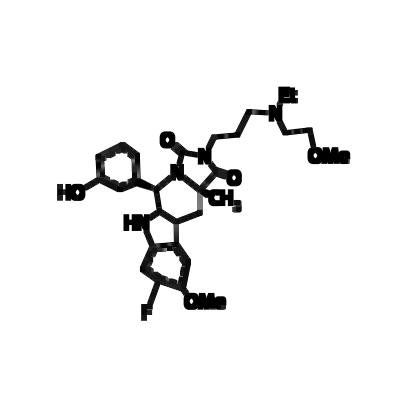 CCN(CCCN1C(=O)N2[C@H](c3cccc(O)c3)C3Nc4cc(F)c(OC)cc4C3C[C@@]2(C)C1=O)CCOC